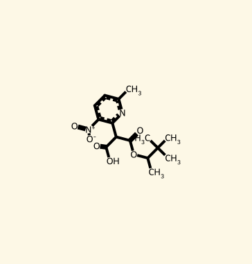 Cc1ccc([N+](=O)[O-])c(C(C(=O)O)C(=O)OC(C)C(C)(C)C)n1